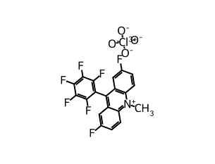 C[n+]1c2ccc(F)cc2c(-c2c(F)c(F)c(F)c(F)c2F)c2cc(F)ccc21.[O-][Cl+3]([O-])([O-])[O-]